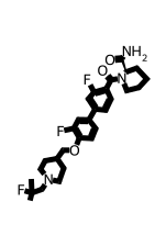 CC(C)(F)CN1CCC(COc2ccc(-c3ccc(C(=O)N4CCCC[C@@H]4C(N)=O)c(F)c3)cc2F)CC1